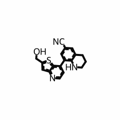 N#Cc1cc2c(c(-c3ccnc4cc(CO)sc34)c1)NCCC2